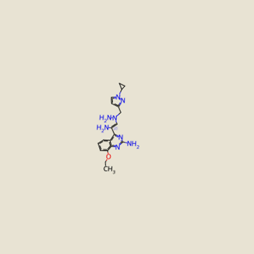 CCOc1cccc2c(/C(N)=C/N(N)Cc3ccn(C4CC4)n3)nc(N)nc12